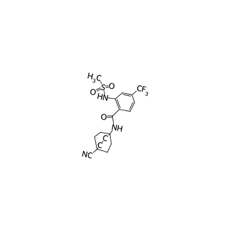 CS(=O)(=O)Nc1cc(C(F)(F)F)ccc1C(=O)NC12CCC(C#N)(CC1)CC2